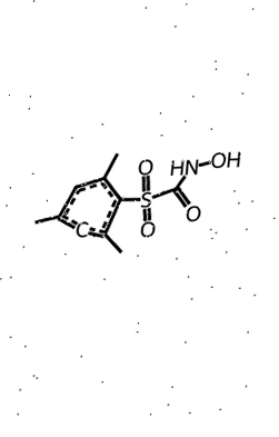 Cc1cc(C)c(S(=O)(=O)C(=O)NO)c(C)c1